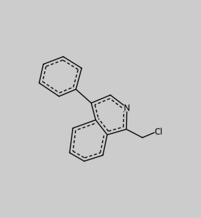 ClCc1ncc(-c2ccccc2)c2ccccc12